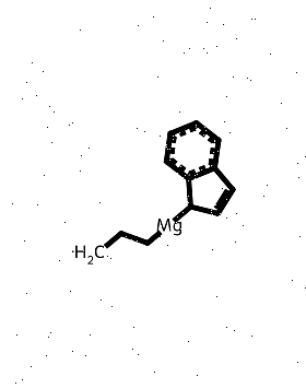 [CH2]C[CH2][Mg][CH]1C=Cc2ccccc21